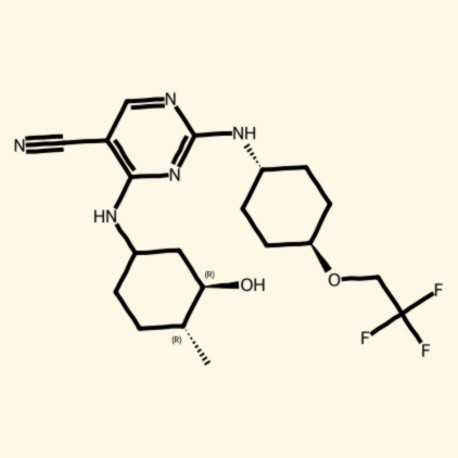 C[C@@H]1CCC(Nc2nc(N[C@H]3CC[C@H](OCC(F)(F)F)CC3)ncc2C#N)C[C@H]1O